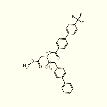 COC(=O)CC(NC(=O)c1ccc(-c2ccc(C(F)(F)F)cc2)cc1)N(C)Cc1ccc(-c2ccccc2)cc1